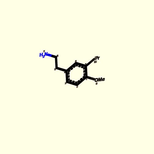 COc1ccc(CCN)cc1C(C)C